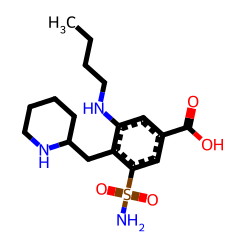 CCCCNc1cc(C(=O)O)cc(S(N)(=O)=O)c1CC1CCCCN1